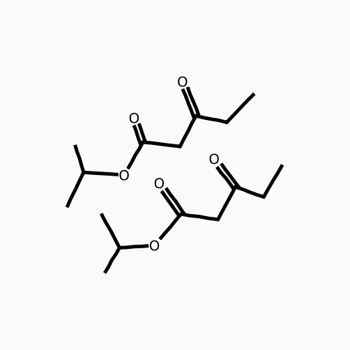 CCC(=O)CC(=O)OC(C)C.CCC(=O)CC(=O)OC(C)C